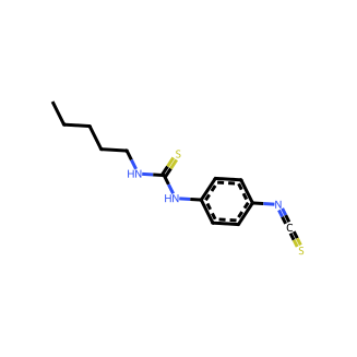 CCCCCNC(=S)Nc1ccc(N=C=S)cc1